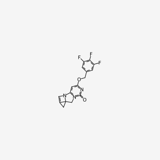 O=c1nc(OCc2cc(F)c(F)c(F)c2)cc2n1CC13CC1=CN23